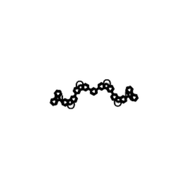 c1cc(-c2ccc3oc4ccc(-c5ccc6oc7ccc(-n8c9ccccc9c9ccccc98)cc7c6c5)cc4c3c2)cc(-c2ccc3oc4ccc(-c5ccc6oc7ccc(-n8c9ccccc9c9ccccc98)cc7c6c5)cc4c3c2)c1